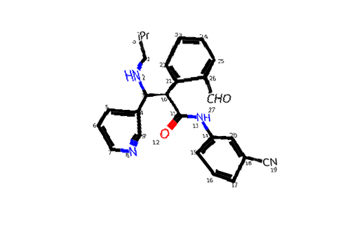 CC(C)CNC(c1cccnc1)[C@H](C(=O)Nc1cccc(C#N)c1)c1ccccc1C=O